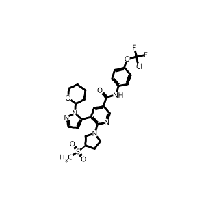 CS(=O)(=O)[C@@H]1CCN(c2ncc(C(=O)Nc3ccc(OC(F)(F)Cl)cc3)cc2-c2ccnn2C2CCCCO2)C1